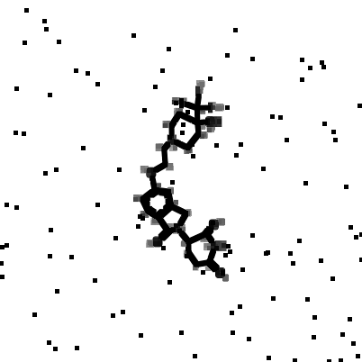 O=C1CCC(N2Cc3cc(OCCN4CCC(O)(C(F)(F)F)CC4)ccc3C2=O)C(=O)N1